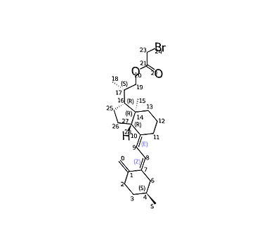 C=C1CC[C@H](C)C/C1=C/C=C1\CCC[C@]2(C)[C@@H]([C@H](C)COC(=O)CBr)CC[C@@H]12